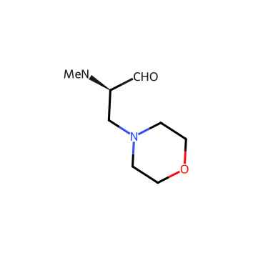 CN[C@@H](C=O)CN1CCOCC1